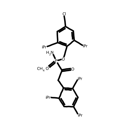 C.CC(C)c1cc(C(C)C)c(CC(=O)P(N)(=O)Oc2c(C(C)C)cc(Cl)cc2C(C)C)c(C(C)C)c1